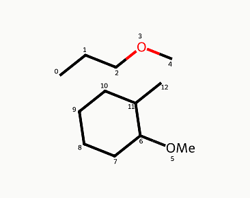 CCCOC.COC1CCCCC1C